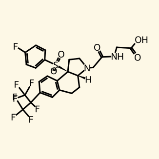 O=C(O)CNC(=O)CN1CC[C@@]2(S(=O)(=O)c3ccc(F)cc3)c3ccc(C(F)(C(F)(F)F)C(F)(F)F)cc3CC[C@@H]12